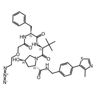 Cc1ncsc1-c1ccc(CNC(=O)[C@@H]2C[C@@H](O)CN2C(=O)[C@@H](NC(=O)[C@H](Cc2ccccc2)NC(=O)COCCN=[N+]=[N-])C(C)(C)C)cc1